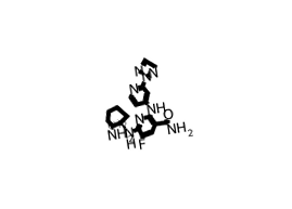 NC(=O)c1cc(F)c(N[C@@H]2CCCC[C@@H]2N)nc1Nc1ccnc(-n2nccn2)c1